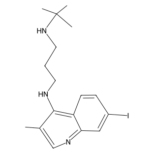 Cc1cnc2cc(I)ccc2c1NCCCNC(C)(C)C